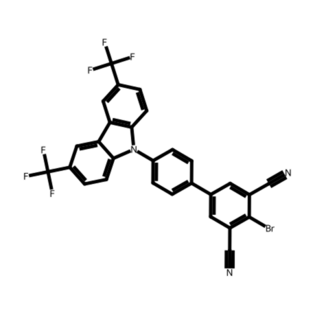 N#Cc1cc(-c2ccc(-n3c4ccc(C(F)(F)F)cc4c4cc(C(F)(F)F)ccc43)cc2)cc(C#N)c1Br